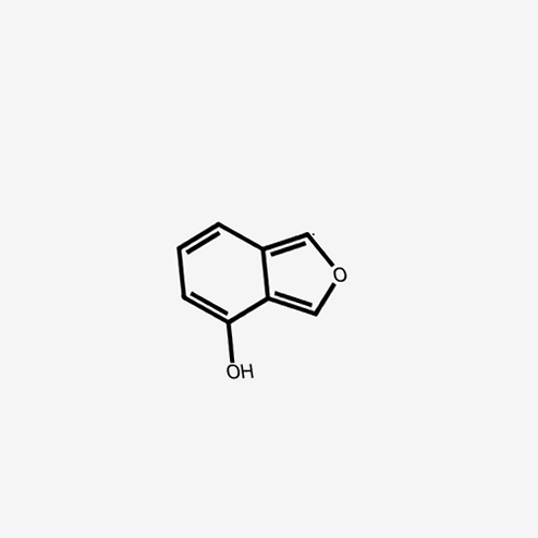 Oc1cccc2[c]occ12